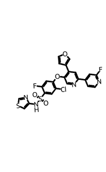 O=S(=O)(Nc1cscn1)c1cc(Cl)c(Oc2cnc(-c3ccnc(F)c3)cc2-c2ccoc2)cc1F